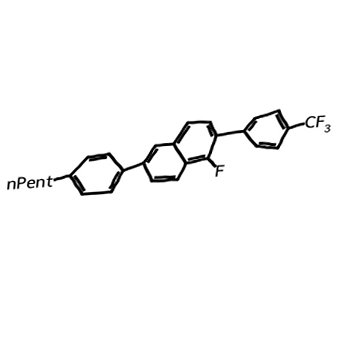 CCCCCc1ccc(-c2ccc3c(F)c(-c4ccc(C(F)(F)F)cc4)ccc3c2)cc1